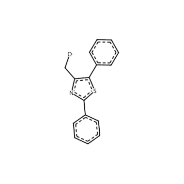 [O]Cc1nc(-c2ccccc2)sc1-c1ccccc1